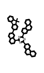 CC1(C)c2ccccc2-c2cc(-c3ccc4cccc(-c5nc(-c6ccc7c(ccc8ccccc87)c6)nc(-c6ccc7c(ccc8ccccc87)c6)n5)c4c3)ccc21